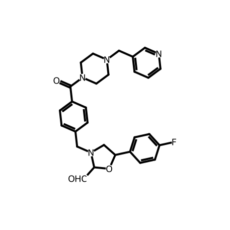 O=CC1OC(c2ccc(F)cc2)CN1Cc1ccc(C(=O)N2CCN(Cc3cccnc3)CC2)cc1